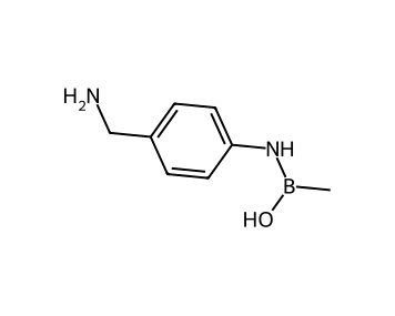 CB(O)Nc1ccc(CN)cc1